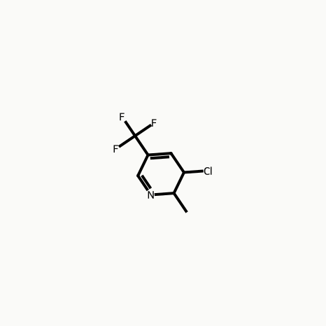 CC1N=CC(C(F)(F)F)=CC1Cl